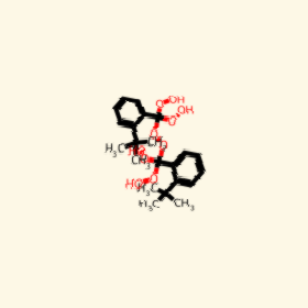 CC(C)(C)c1ccccc1C(OO)(OO)OOC(OO)(OO)c1ccccc1C(C)(C)C